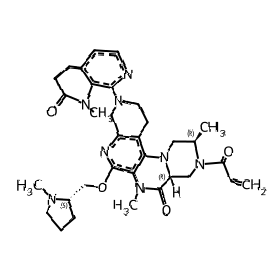 C=CC(=O)N1C[C@@H]2C(=O)N(C)c3c(OC[C@@H]4CCCN4C)nc4c(c3N2C[C@H]1C)CCN(c1nccc2c1N(C)C(=O)CC2)C4